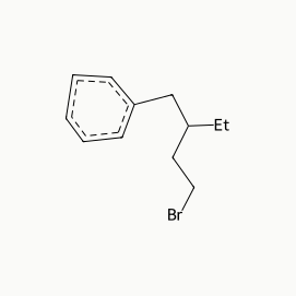 CCC(CCBr)Cc1ccccc1